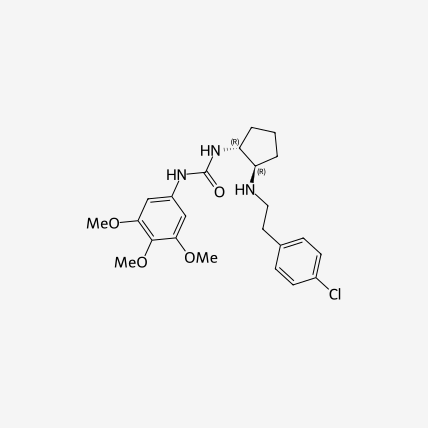 COc1cc(NC(=O)N[C@@H]2CCC[C@H]2NCCc2ccc(Cl)cc2)cc(OC)c1OC